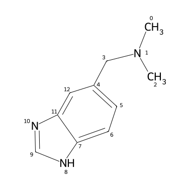 CN(C)Cc1ccc2[nH]cnc2c1